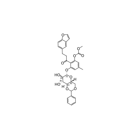 COC(=O)Oc1cc(C)cc(O[C@@H]2O[C@@H]3COC(c4ccccc4)O[C@H]3[C@H](O)[C@H]2O)c1C(=O)CCc1ccc2occc2c1